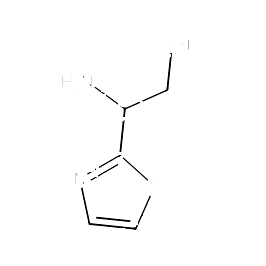 NC(CC=O)c1nccs1